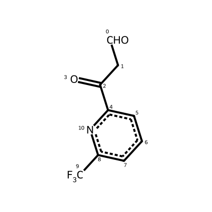 O=CCC(=O)c1cccc(C(F)(F)F)n1